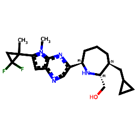 Cn1c(C2(C)CC2(F)F)cc2ncc([C@H]3CCC[C@@H](CC4CC4)[C@H](CO)N3)nc21